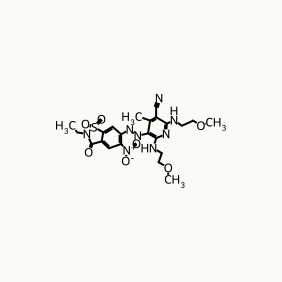 CCN1C(=O)c2cc([N+](=O)[O-])c(/N=N/c3c(NCCOC)nc(NCCOC)c(C#N)c3C)cc2S1(=O)=O